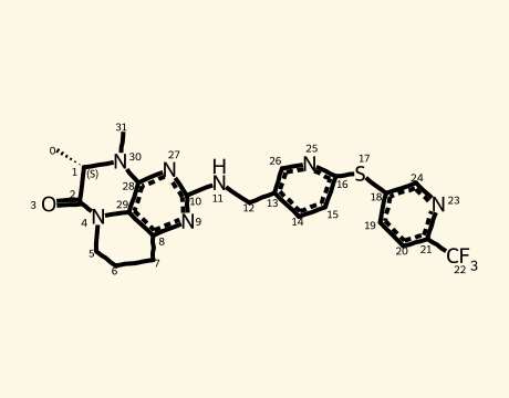 C[C@H]1C(=O)N2CCCc3nc(NCc4ccc(Sc5ccc(C(F)(F)F)nc5)nc4)nc(c32)N1C